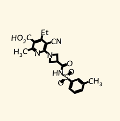 CCc1c(C#N)c(N2CC(C(=O)NS(=O)(=O)c3cccc(C)c3)C2)nc(C)c1C(=O)O